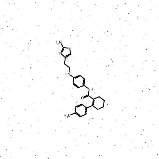 Nc1nc(CCNc2ccc(NC(=O)C3=C(c4ccc(C(F)(F)F)cc4)CCCC3)cc2)cs1